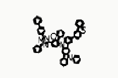 c1ccc(-c2ccc(-c3nc(-c4ccccc4)nc(-c4ccc(-n5c6ccc(-c7ccc8sc9ccccc9c8c7)cc6c6cc7c(cc65)c5ccccc5n7-c5ccccc5)c5c4oc4ccccc45)n3)cc2)cc1